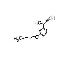 C#CC(O)c1cccc(OCCCCC)c1